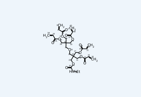 C=CC(=O)OCC(COCC(COC(=O)C=C)(COC(=O)C=C)COC(=O)NCC)(COC(=O)C=C)COC(=O)C=C